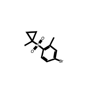 Cc1cc(Br)ccc1S(=O)(=O)C1(C)CC1